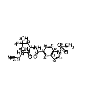 CC(C)(F)CC(NC(=O)c1ccc2c(ccn2S(C)(=O)=O)c1)C(=O)NCC#N